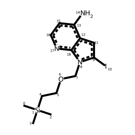 C[Si](C)(C)CCOCn1c(I)cc2c(N)ccnc21